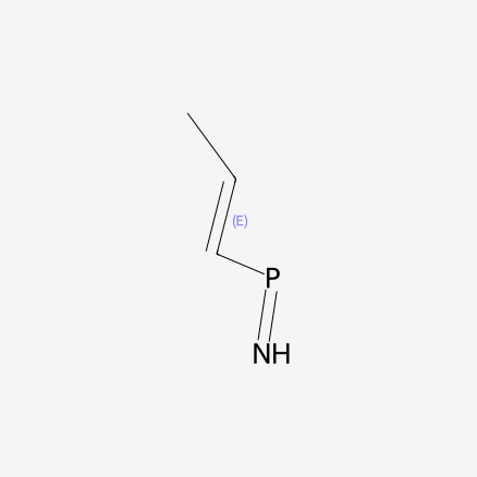 C/C=C/P=N